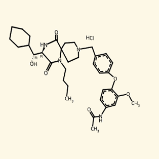 CCCCN1C(=O)[C@@H]([C@H](O)C2CCCCC2)NC(=O)C12CCN(Cc1ccc(Oc3ccc(NC(C)=O)cc3OC)cc1)CC2.Cl